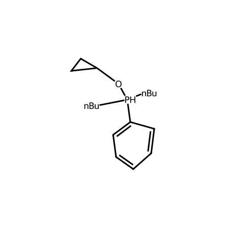 CCCC[PH](CCCC)(OC1CC1)c1ccccc1